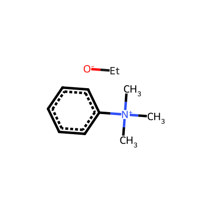 CC[O-].C[N+](C)(C)c1ccccc1